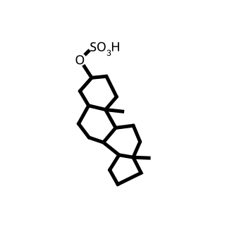 CC12CCCC1C1CCC3CC(OS(=O)(=O)O)CCC3(C)C1CC2